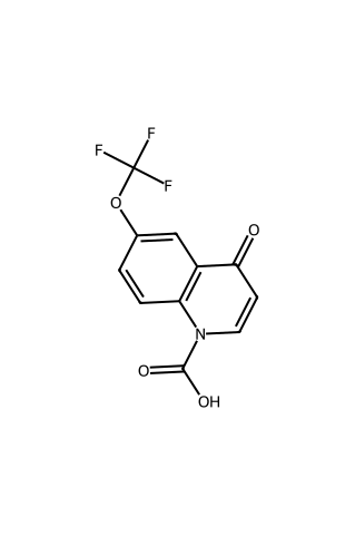 O=C(O)n1ccc(=O)c2cc(OC(F)(F)F)ccc21